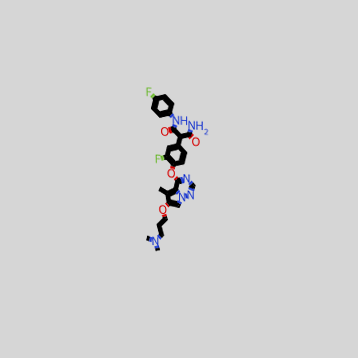 Cc1c(OCCCN(C)C)cn2ncnc(Oc3ccc(C(C(N)=O)C(=O)Nc4ccc(F)cc4)cc3F)c12